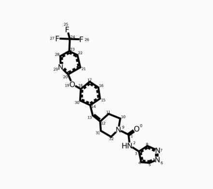 O=C(Nc1ccnnc1)N1CCC(=Cc2cccc(Oc3ccc(C(F)(F)F)cn3)c2)CC1